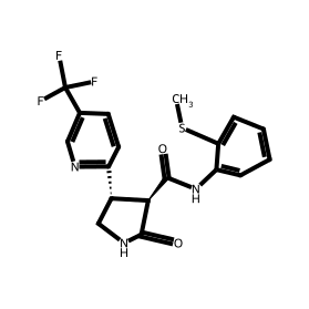 CSc1ccccc1NC(=O)[C@H]1C(=O)NC[C@@H]1c1ccc(C(F)(F)F)cn1